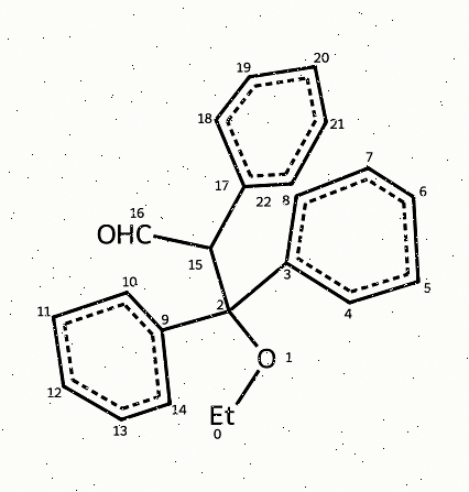 CCOC(c1ccccc1)(c1ccccc1)C(C=O)c1ccccc1